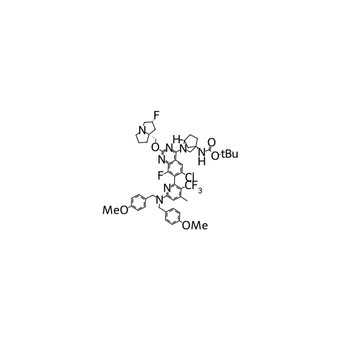 COc1ccc(CN(Cc2ccc(OC)cc2)c2cc(C)c(C(F)(F)F)c(-c3c(Cl)cc4c(N5C[C@@]6(NC(=O)OC(C)(C)C)CC[C@@H]5C6)nc(OC[C@]56CCCN5C[C@H](F)C6)nc4c3F)n2)cc1